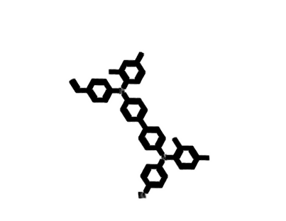 C=Cc1ccc(N(c2ccc(-c3ccc(N(c4ccc(CC)cc4)c4ccc(C)cc4C)cc3)cc2)c2ccc(C)cc2C)cc1